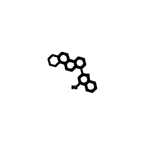 Oc1cc(-c2cccc3c2ccc2c4c(ccc23)CCCC4)nc2ccccc12